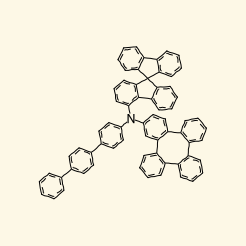 c1ccc(-c2ccc(-c3ccc(N(c4ccc5c(c4)-c4ccccc4-c4ccccc4-c4ccccc4-5)c4cccc5c4-c4ccccc4C54c5ccccc5-c5ccccc54)cc3)cc2)cc1